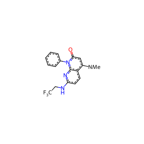 CNc1cc(=O)n(-c2ccccc2)c2nc(NCC(F)(F)F)ccc12